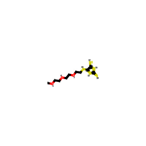 COCCOCCOCCSc1sc(=S)sc1S